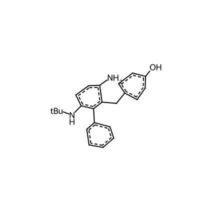 CC(C)(C)Nc1ccc(N)c(Cc2ccc(O)cc2)c1-c1ccccc1